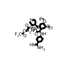 CCOc1cc(C(Nc2ccc(C(=N)N)cc2)C(=O)N(N)C(=O)c2ccncc2NC(=O)COC(=O)C(F)(F)F)ccc1OC(C)C